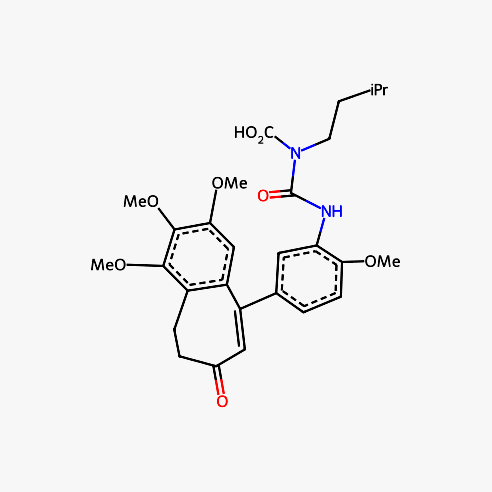 COc1ccc(C2=CC(=O)CCc3c2cc(OC)c(OC)c3OC)cc1NC(=O)N(CCC(C)C)C(=O)O